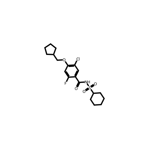 O=C(NS(=O)(=O)C1CCCCC1)c1cc(Cl)c(OCC2CCCC2)cc1F